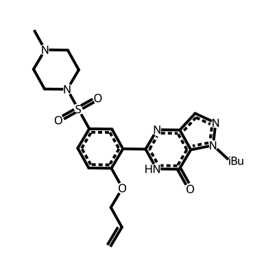 C=CCOc1ccc(S(=O)(=O)N2CCN(C)CC2)cc1-c1nc2cnn(C(C)CC)c2c(=O)[nH]1